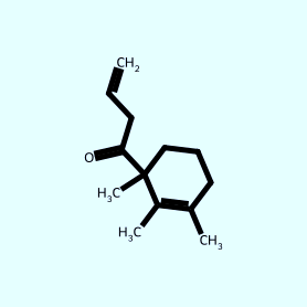 C=CCC(=O)C1(C)CCCC(C)=C1C